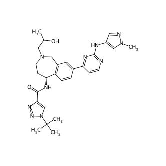 CC(O)CN1CC[C@H](NC(=O)c2cn(C(C)(C)C)nn2)c2ccc(-c3ccnc(Nc4cnn(C)c4)n3)cc2C1